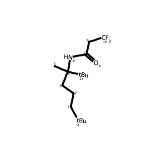 CC(C)(C)CCCC(C)(NC(=O)CC(F)(F)F)C(C)(C)C